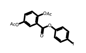 CC(=O)Oc1ccc(OC(C)=O)c(C(=O)Oc2ccc(I)cc2)c1